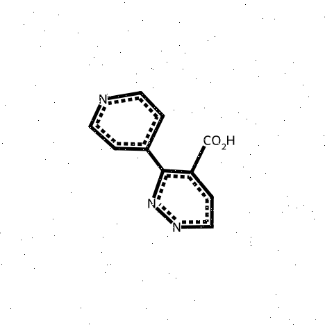 O=C(O)c1ccnnc1-c1ccncc1